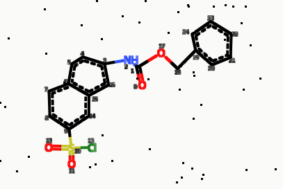 O=C(Nc1ccc2ccc(S(=O)(=O)Cl)cc2c1)OCc1ccccc1